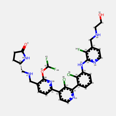 O=C1CC[C@@H](CNCc2ccc(-c3ccnc(-c4cccc(Nc5nccc(CNCCO)c5F)c4Cl)c3Cl)nc2OC(F)F)N1